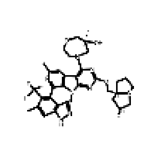 Cc1cc2c3c(N4CCOC[C@@](C)(O)C4)nc(OC[C@@]45CCCN4C[C@H](F)C5)nc3n(C)c2c(-c2c(C(F)(F)F)c(C)cc3[nH]ncc23)n1